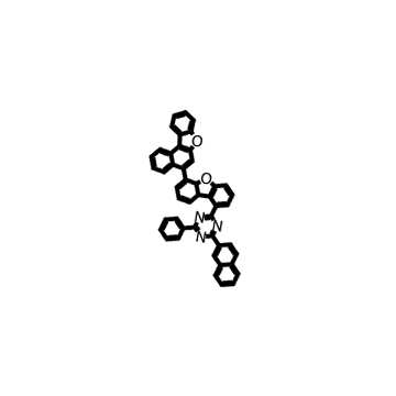 C1=CC2c3c(cccc3-c3nc(-c4ccccc4)nc(-c4ccc5ccccc5c4)n3)OC2C(c2cc3oc4ccccc4c3c3ccccc23)=C1